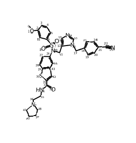 COc1cccc(S(=O)(=O)N(Cc2cncn2Cc2ccc(C#N)cc2)c2ccc3sc(C(=O)NCCN4CCCC4)cc3c2)c1